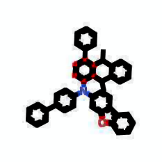 CC12c3ccccc3C(C)(c3ccccc31)c1c(N(c3ccc(-c4ccccc4)cc3)c3ccc4c(c3)oc3ccccc34)ccc(-c3ccccc3)c12